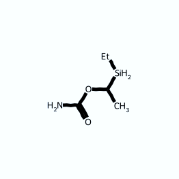 CC[SiH2]C(C)OC(N)=O